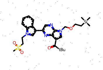 CC(C)(C)C(=O)c1cn(COCC[Si](C)(C)C)c2ncc(-c3cn(CCS(C)(=O)=O)c4ccccc34)nc12